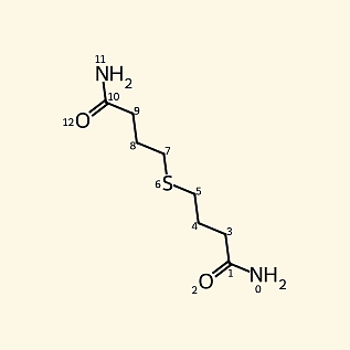 NC(=O)CCCSCCCC(N)=O